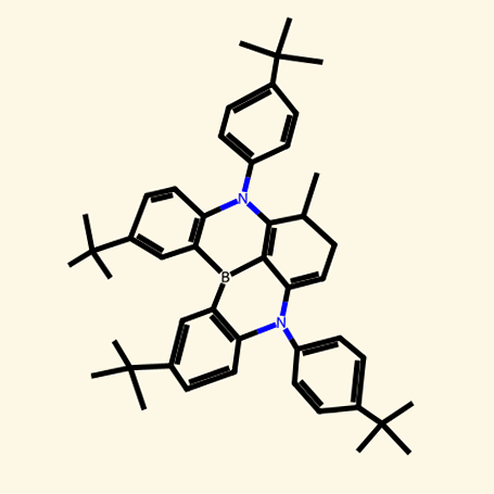 CC1CC=C2C3=C1N(c1ccc(C(C)(C)C)cc1)c1ccc(C(C)(C)C)cc1B3c1cc(C(C)(C)C)ccc1N2c1ccc(C(C)(C)C)cc1